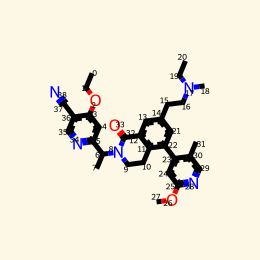 CCOc1cc(C(C)N2CCc3c(cc(CCN(C)CC)cc3-c3cc(OC)ncc3C)C2=O)ncc1C#N